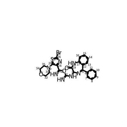 N=C(NC1N=C(c2ccccc2)c2ccccc2NC1=O)OC(=N)c1nc(Br)sc1N1CCOCC1